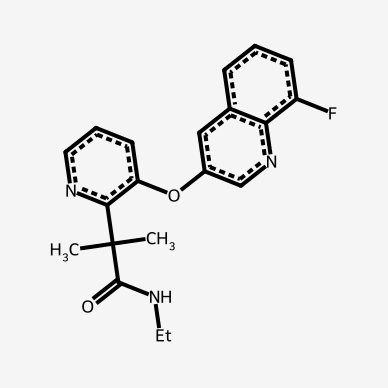 CCNC(=O)C(C)(C)c1ncccc1Oc1cnc2c(F)cccc2c1